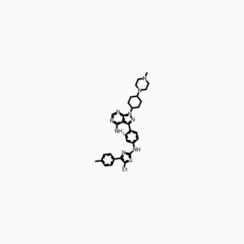 CCc1sc(Nc2ccc(-c3nn(C4CCC(N5CCN(C)CC5)CC4)c4ncnc(N)c34)cc2)nc1-c1ccc(C)cc1